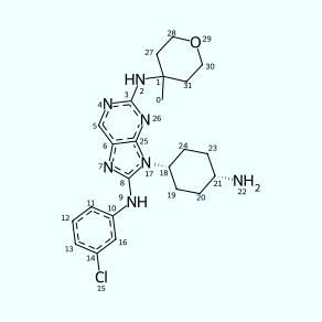 CC1(Nc2ncc3nc(Nc4cccc(Cl)c4)n([C@H]4CC[C@@H](N)CC4)c3n2)CCOCC1